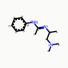 C/C(=N\C(C)CN(C)C)Nc1ccccc1